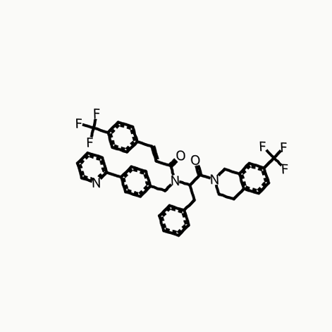 O=C(C(Cc1ccccc1)N(Cc1ccc(-c2ccccn2)cc1)C(=O)C=Cc1ccc(C(F)(F)F)cc1)N1CCc2ccc(C(F)(F)F)cc2C1